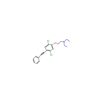 CCN(CC)CCOc1cc(Cl)c(C#Cc2ccccc2)cc1Cl